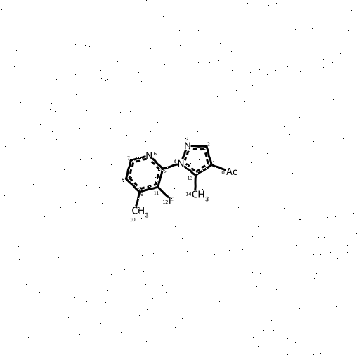 CC(=O)c1cnn(-c2nccc(C)c2F)c1C